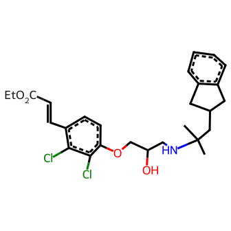 CCOC(=O)C=Cc1ccc(OCC(O)CNC(C)(C)CC2Cc3ccccc3C2)c(Cl)c1Cl